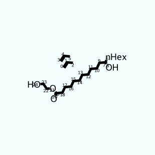 C=CC.C=CC.CCCCCCC(O)CCCCCCCCCCC(=O)OCCO